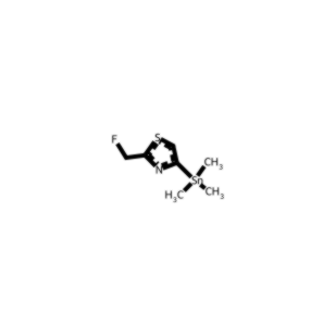 [CH3][Sn]([CH3])([CH3])[c]1csc(CF)n1